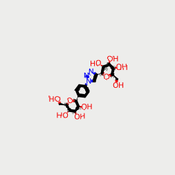 OC[C@H]1O[C@H](c2cn(-c3ccc([C@H]4O[C@H](CO)[C@@H](O)[C@H](O)[C@@H]4O)cc3)nn2)[C@H](O)[C@@H](O)[C@@H]1O